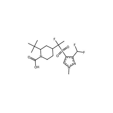 Cn1cc(S(=O)(=O)C(C)(F)C2CCN(C(=O)O)C(C(C)(C)C)C2)c(C(F)F)n1